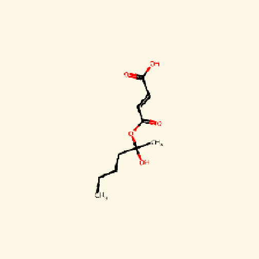 CCCCC(C)(O)OC(=O)C=CC(=O)O